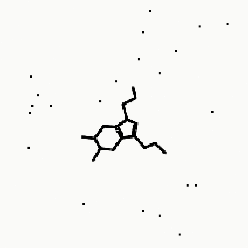 CCC[C]1C=C(CCC)C2=C1CC(C)C(C)C2